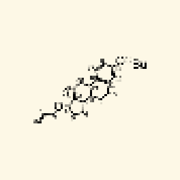 C=CCO[C@H]1CCC2C3CCc4cc(OCCCC)ccc4C3CC[C@@]21C